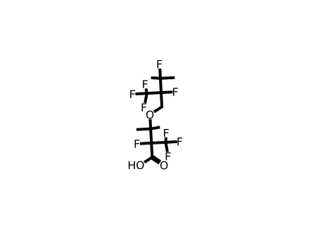 CC(C)(F)C(F)(COC(C)(C)C(F)(C(=O)O)C(F)(F)F)C(F)(F)F